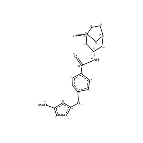 COc1csc(Oc2ccc(C(=O)N[C@@H]3C[C@@H]4CCN(C4)C3)cc2)c1